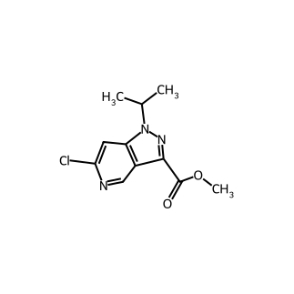 COC(=O)c1nn(C(C)C)c2cc(Cl)ncc12